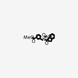 COC(=O)c1cccc(CN2C(=O)NC3(CCc4ccccc43)C2=O)c1